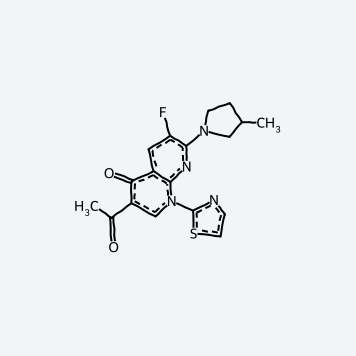 CC(=O)c1cn(-c2nccs2)c2nc(N3CCC(C)C3)c(F)cc2c1=O